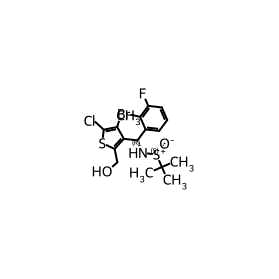 Cc1c(Cl)sc(CO)c1[C@@H](N[S@+]([O-])C(C)(C)C)c1cccc(F)c1Br